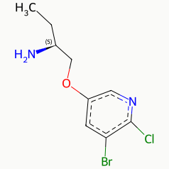 CC[C@H](N)COc1cnc(Cl)c(Br)c1